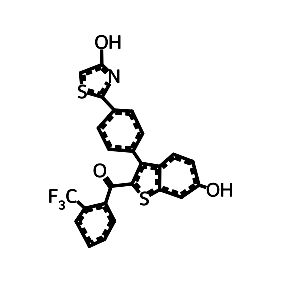 O=C(c1ccccc1C(F)(F)F)c1sc2cc(O)ccc2c1-c1ccc(-c2nc(O)cs2)cc1